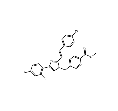 COC(=O)c1ccc(Cn2cc(-c3ccc(F)cc3F)nc2C=Cc2ccc(Br)cc2)cc1